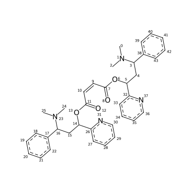 CN(C)C(CC(OC(=O)/C=C\C(=O)OC(CC(c1ccccc1)N(C)C)c1ccccn1)c1ccccn1)c1ccccc1